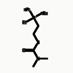 CCCC[N+](CC)(CCC)CCSC(=O)N(C)C